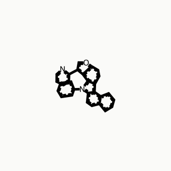 c1ccc(-n2c3ccc4ccccc4c3c3ccc4occ(-c5ccccn5)c4c32)cc1